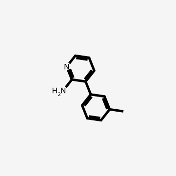 Cc1cccc(-c2cccnc2N)c1